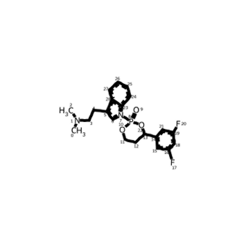 CN(C)CCc1cn(P2(=O)OCCC(c3cc(F)cc(F)c3)O2)c2ccccc12